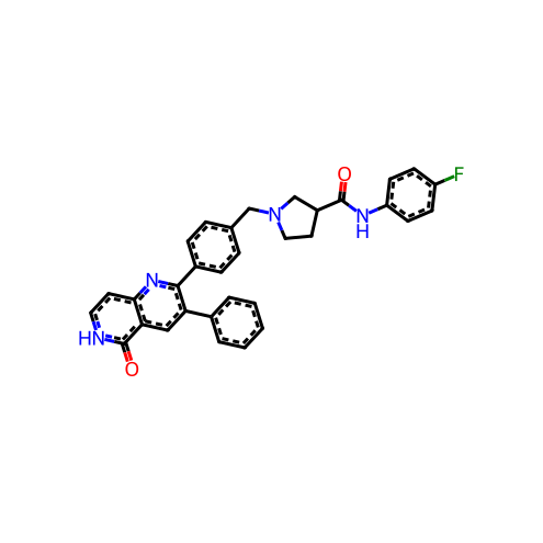 O=C(Nc1ccc(F)cc1)C1CCN(Cc2ccc(-c3nc4cc[nH]c(=O)c4cc3-c3ccccc3)cc2)C1